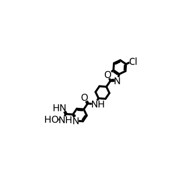 N=C(NO)c1cc(C(=O)NC2CCC(c3nc4cc(Cl)ccc4o3)CC2)ccn1